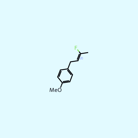 COc1ccc(C/C=C(/C)F)cc1